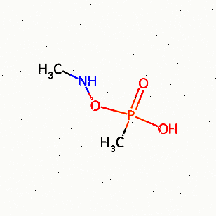 CNOP(C)(=O)O